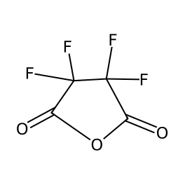 O=C1OC(=O)C(F)(F)C1(F)F